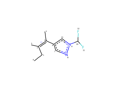 CC/C(C)=C(/C)c1cnn(C(F)F)c1